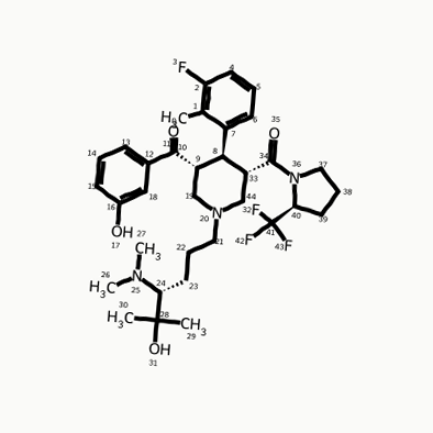 Cc1c(F)cccc1[C@@H]1[C@@H](C(=O)c2cccc(O)c2)CN(CCC[C@@H](N(C)C)C(C)(C)O)C[C@H]1C(=O)N1CCC[C@H]1C(F)(F)F